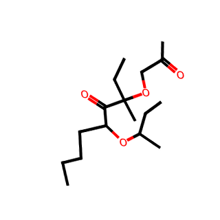 CCCCC(OC(C)CC)C(=O)C(C)(CC)OCC(C)=O